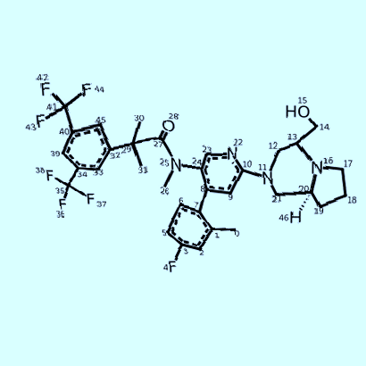 Cc1cc(F)ccc1-c1cc(N2CC(CO)N3CCC[C@H]3C2)ncc1N(C)C(=O)C(C)(C)c1cc(C(F)(F)F)cc(C(F)(F)F)c1